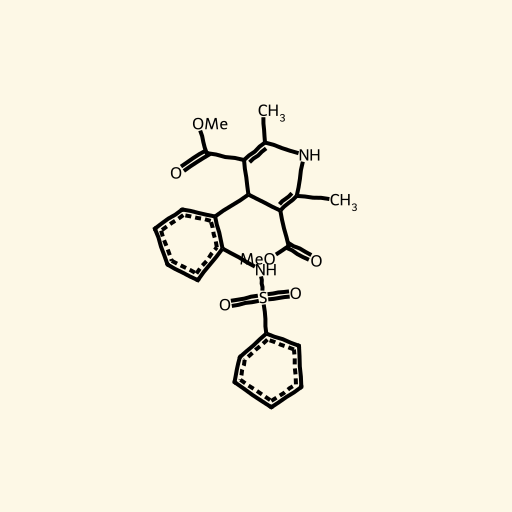 COC(=O)C1=C(C)NC(C)=C(C(=O)OC)C1c1ccccc1NS(=O)(=O)c1ccccc1